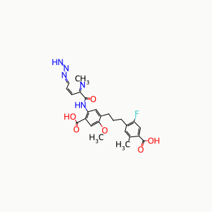 C\N=C(/C=C\C=N\N=N)C(=O)Nc1cc(CCCc2cc(C)c(C(=O)O)cc2F)c(OC)cc1C(=O)O